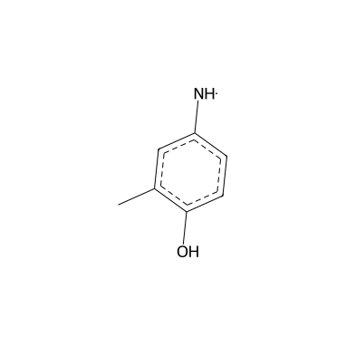 Cc1cc([NH])ccc1O